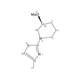 CO[C@H]1CCCN(c2nc(C)cs2)C1